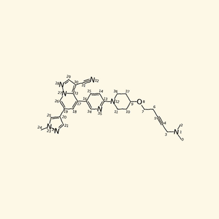 CN(C)CC#CCCOC1CCN(c2ccc(-c3cc(-c4cnn(C)c4)cn4ncc(C#N)c34)cn2)CC1